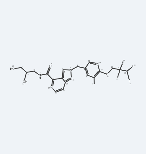 Cc1cc(Cn2cc3c(C(=O)NCC(O)CO)nccc3n2)cnc1OCC(F)(F)C(F)F